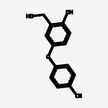 N#Cc1ccc(Oc2ccc(O)c(CO)c2)cc1